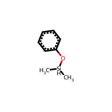 C[SiH](C)Oc1[c]cccc1